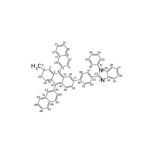 CC1C=c2c(-c3ccc4ccccc4c3)c3cc(-c4ccc(-c5nc6ccccc6n5-c5ccccc5)cc4)ccc3c(-c3ccc4ccccc4c3)c2=CC1